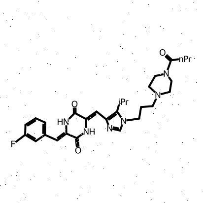 CCCC(=O)N1CCN(CCCn2cnc(/C=c3\[nH]c(=O)/c(=C/c4cccc(F)c4)[nH]c3=O)c2C(C)C)CC1